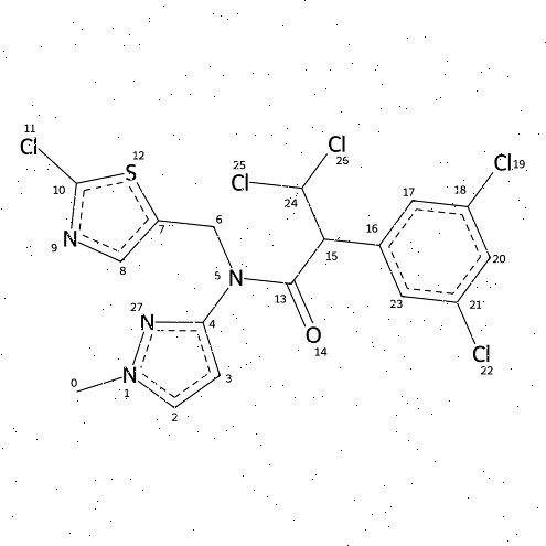 Cn1ccc(N(Cc2cnc(Cl)s2)C(=O)C(c2cc(Cl)cc(Cl)c2)C(Cl)Cl)n1